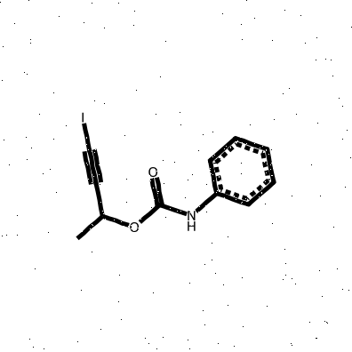 CC(C#CI)OC(=O)Nc1ccccc1